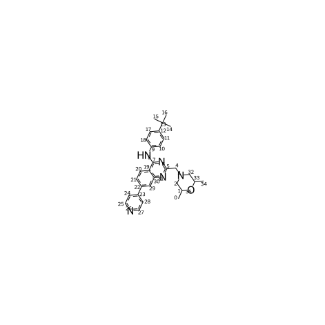 CC1CN(Cc2nc(Nc3ccc(C(C)(C)C)cc3)c3ccc(-c4ccncc4)cc3n2)CC(C)O1